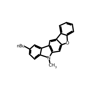 CCCCc1ccc2c(c1)c1cc3c(cc1n2C)oc1ccccc13